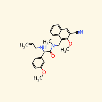 C=CCNC(C(=O)N(C)Cc1c(OC)c(C#N)cc2ccccc12)c1cccc(OC)c1